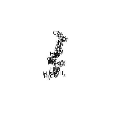 CC(N)C(=O)NC(C)C(=O)NCCC(CSc1ccccc1)Nc1ccc(S(=O)(=O)Nc2ncnc3cc(N4CCN(Cc5ccccc5-c5ccc(Cl)cc5)CC4)ccc23)cc1[N+](=O)[O-]